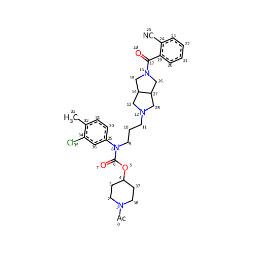 CC(=O)N1CCC(OC(=O)N(CCCN2CC3CN(C(=O)c4ccccc4C#N)CC3C2)c2ccc(C)c(Cl)c2)CC1